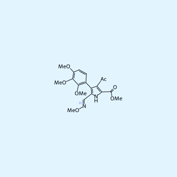 CO/N=C/c1[nH]c(C(=O)OC)c(C(C)=O)c1-c1ccc(OC)c(OC)c1OC